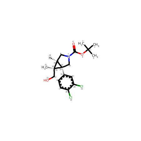 CC(C)(C)OC(=O)N1C[C@@H]2[C@](C)(CO)[C@]2(c2ccc(Cl)c(Cl)c2)C1